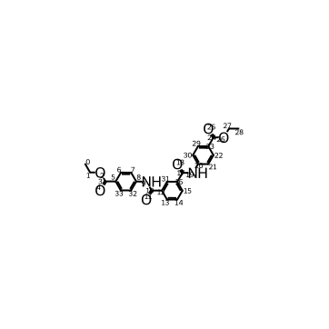 CCOC(=O)c1ccc(NC(=O)c2cccc(C(=O)Nc3ccc(C(=O)OCC)cc3)c2)cc1